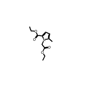 CCOC(=O)Cn1c(C)ccc1C(=O)OCC